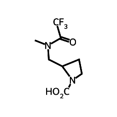 CN(CC1CCN1C(=O)O)C(=O)C(F)(F)F